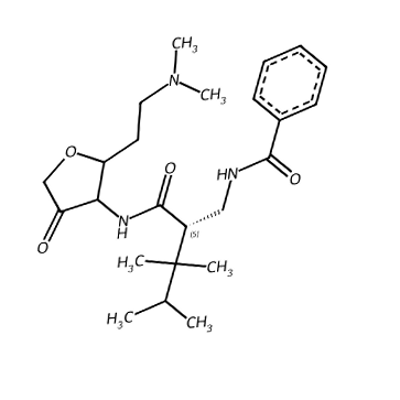 CC(C)C(C)(C)[C@@H](CNC(=O)c1ccccc1)C(=O)NC1C(=O)COC1CCN(C)C